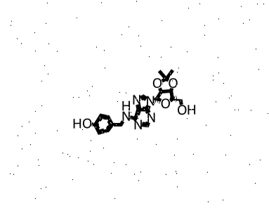 CC1(C)OC2C(O1)[C@@H](CO)O[C@H]2n1cnc2c(NCc3ccc(O)cc3)ncnc21